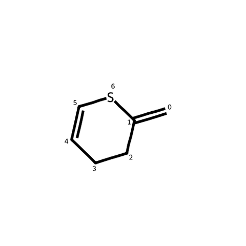 C=C1CCC=CS1